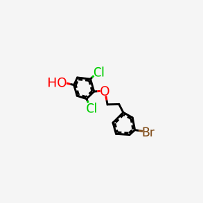 Oc1cc(Cl)c(OCCc2cccc(Br)c2)c(Cl)c1